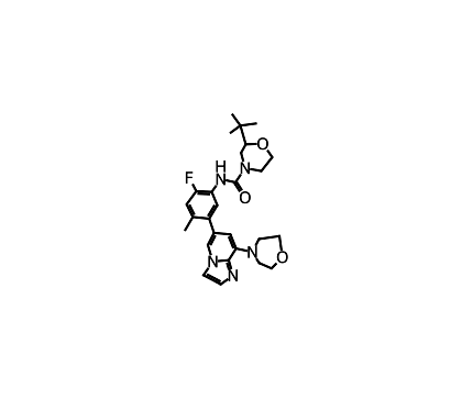 Cc1cc(F)c(NC(=O)N2CCOC(C(C)(C)C)C2)cc1-c1cc(N2CCOCC2)c2nccn2c1